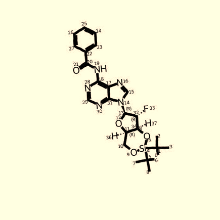 CC(C)(C)[Si]1(C(C)(C)C)OC[C@H]2O[C@@H](n3cnc4c(NC(=O)c5ccccc5)ncnc43)[C@H](F)[C@H]2O1